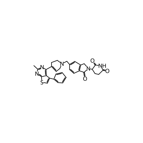 Cc1nc(C2=CCN(Cc3ccc4c(c3)CN(C3CCC(=O)NC3=O)C4=O)CC2)c2c(-c3ccccc3)csc2n1